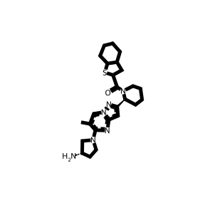 Cc1cn2nc([C@@H]3CCCCN3C(=O)C3CC4CCCCC4S3)cc2nc1N1CC[C@H](N)C1